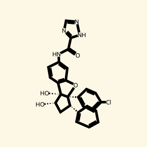 O=C(Nc1ccc2c(c1)O[C@@]1(c3ccc(Cl)cc3)[C@H](c3ccccc3)C[C@H](O)[C@@]21O)c1ncn[nH]1